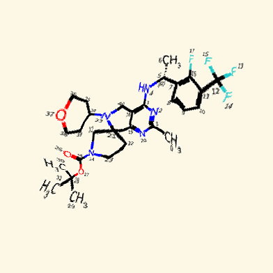 Cc1nc(N[C@H](C)c2cccc(C(F)(F)F)c2F)c2c(n1)C1(CCN(C(=O)OC(C)(C)C)C1)N(C1CCOCC1)C2